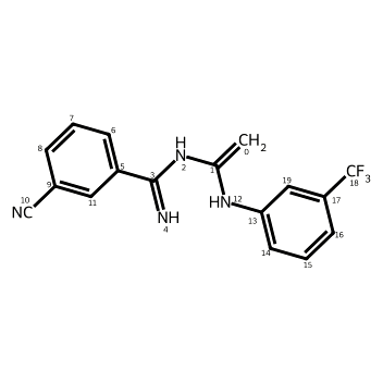 C=C(NC(=N)c1cccc(C#N)c1)Nc1cccc(C(F)(F)F)c1